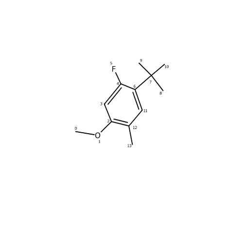 COc1cc(F)c(C(C)(C)C)cc1C